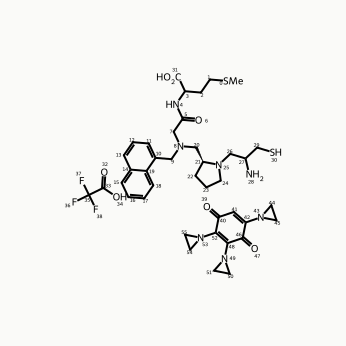 CSCCC(NC(=O)CN(Cc1cccc2ccccc12)C[C@@H]1CCCN1CC(N)CS)C(=O)O.O=C(O)C(F)(F)F.O=C1C=C(N2CC2)C(=O)C(N2CC2)=C1N1CC1